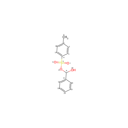 Cc1ccc(S(=O)(=O)OC(O)c2ccccc2)cc1